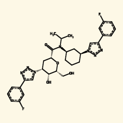 CC(C)N(C(=O)[C@H]1C[C@@H](n2cc(-c3cccc(F)c3)nn2)[C@@H](O)[C@@H](CO)O1)[C@@H]1CCC[C@H](n2cc(-c3cccc(F)c3)nn2)C1